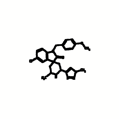 COc1ccc(CN2C(=O)C3(CC(C)NC(c4cn(C)nn4)C3)c3cc(Cl)ccc32)cc1